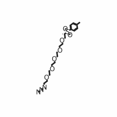 Cc1ccc(S(=O)(=O)[CH]COCCOCCOCCOCCOCCN=[N+]=[N-])cc1